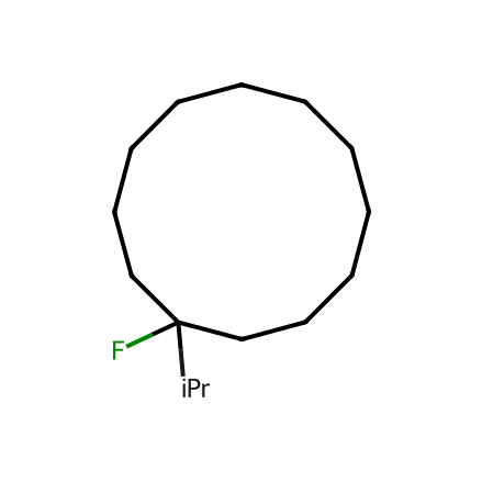 CC(C)C1(F)CCCCCCCCCCC1